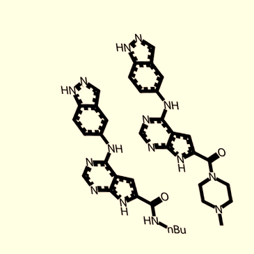 CCCCNC(=O)c1cc2c(Nc3ccc4[nH]ncc4c3)ncnc2[nH]1.CN1CCN(C(=O)c2cc3c(Nc4ccc5[nH]ncc5c4)ncnc3[nH]2)CC1